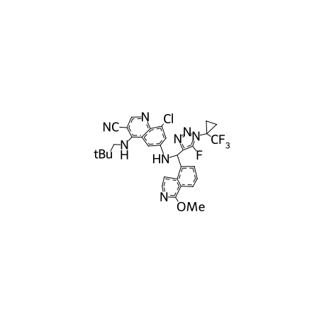 COc1nccc2c(C(Nc3cc(Cl)c4ncc(C#N)c(NCC(C)(C)C)c4c3)c3nnn(C4(C(F)(F)F)CC4)c3F)cccc12